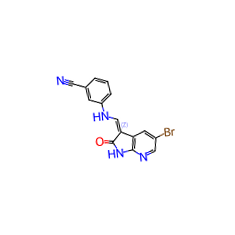 N#Cc1cccc(N/C=C2\C(=O)Nc3ncc(Br)cc32)c1